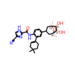 CC1(C)CC=C(c2cc(C3C[C@@]4(C)O[C@@](C)(C3)[C@H](O)[C@@H]4O)ccc2NC(=O)c2nc(C#N)c[nH]2)CC1